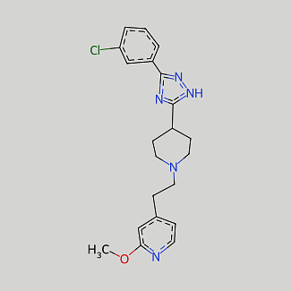 COc1cc(CCN2CCC(c3nc(-c4cccc(Cl)c4)n[nH]3)CC2)ccn1